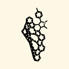 Cc1ccc(C2C3c4c5ccc6c7ccc8c9ccc%10c%11ccc%12c(c%13c4c4c5c6c5c7c8c6c9c%10c7c%11c%12c%13c8c4c5c6c78)C3C(C)N2C)cc1